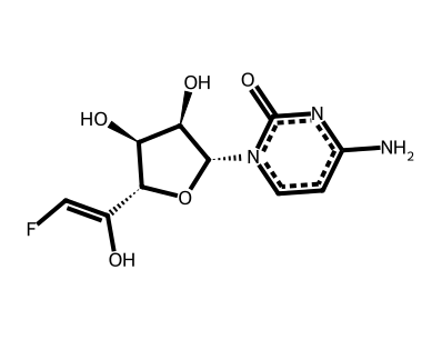 Nc1ccn([C@@H]2O[C@H](C(O)=CF)[C@@H](O)[C@H]2O)c(=O)n1